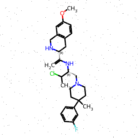 C=C(N[C@H](CN1CCC(C)(c2cccc(F)c2)CC1)C(C)Cl)[C@H]1Cc2ccc(OC)cc2CN1